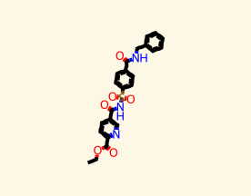 CCOC(=O)c1ccc(C(=O)NS(=O)(=O)c2ccc(C(=O)NCc3ccccc3)cc2)cn1